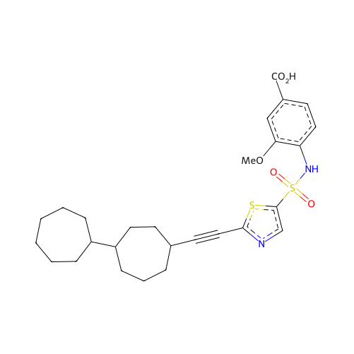 COc1cc(C(=O)O)ccc1NS(=O)(=O)c1cnc(C#CC2CCCC(C3CCCCCC3)CC2)s1